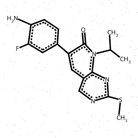 CSc1ncc2cc(-c3ccc(N)c(F)c3)c(=O)n(C(C)C)c2n1